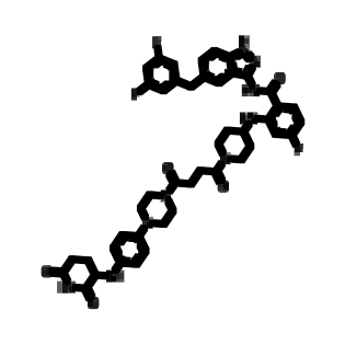 O=C1CCC(Nc2ccc(N3CCN(C(=O)CCC(=O)N4CCC(Nc5cc(F)ccc5C(=O)Nc5n[nH]c6ccc(Cc7cc(F)cc(F)c7)cc56)CC4)CC3)cc2)C(=O)N1